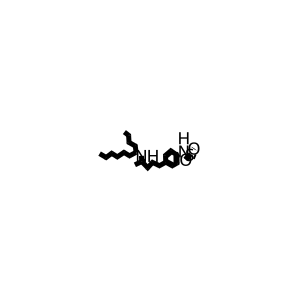 CCCCCCC(CCCC)NC(C)CCCc1ccc(NS(C)(=O)=O)cc1